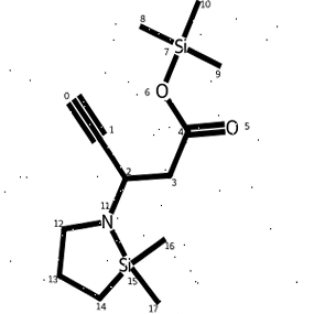 C#CC(CC(=O)O[Si](C)(C)C)N1CCC[Si]1(C)C